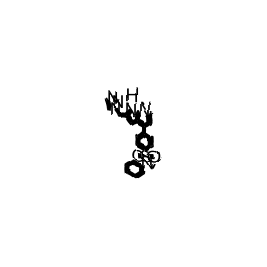 CN(C1CCCCC1)S(=O)(=O)c1ccc(-c2ccnc3[nH]c(Cn4ccnn4)cc23)cc1